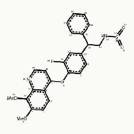 COc1ccc2c(Oc3ccc(C(CN[SH](=O)=O)c4ccccc4)cc3F)ccnc2c1OC